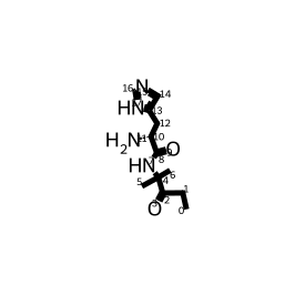 CCC(=O)C(C)(C)NC(=O)[C@H](N)Cc1cnc[nH]1